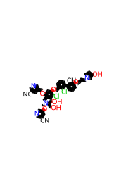 Cc1c(OCCCN2CC[C@@H](O)C2)cccc1-c1cccc(COc2cc(OCc3cncc(C#N)c3)c(CN(COc3cncc(C#N)c3)C(CO)CO)cc2Cl)c1Cl